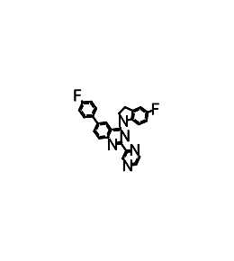 Fc1ccc(-c2ccc3nc(-c4cnccn4)nc(N4CCc5cc(F)ccc54)c3c2)cc1